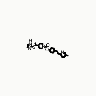 Cc1ccc(CCc2ccc(OC(=O)N3CCC(C(C)Sc4ncc[nH]4)CC3)cc2)nc1